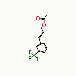 CC(=O)OC/C=C/c1cccc(C(F)(F)F)c1